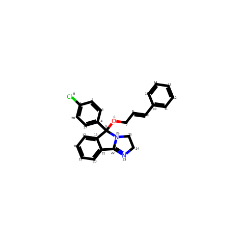 Clc1ccc(C2(OCC=Cc3ccccc3)c3ccccc3C3=NCCN32)cc1